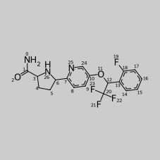 NC(=O)C1CCC(c2ccc(OC(c3ccccc3F)C(F)(F)F)cn2)N1